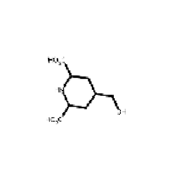 O=C(O)C1CC(CO)CC(C(=O)O)N1